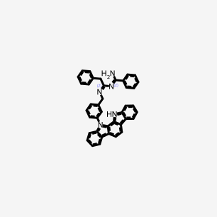 N/C(=N\C(Cc1ccccc1)=N/Cc1cccc(-n2c3ccccc3c3ccc4c5ccccc5[nH]c4c32)c1)c1ccccc1